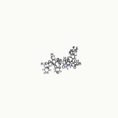 C=C(/C=C\C(C)=C(/C)CN1CC2(CCOCC2)Oc2nc(O[C@@H](C)CN3CCCCC3)c(C)cc2S1(=O)=O)[C@@H](c1ccn2c(C(F)(F)F)nnc2c1C)C(C)(C)C(=O)O